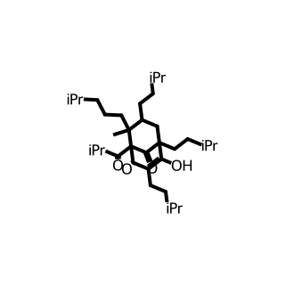 CC(C)CCCC1(C)C(CCC(C)C)CC2(CCC(C)C)C(=O)C1(C(=O)C(C)C)C(=O)C(CCC(C)C)=C2O